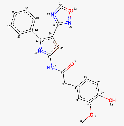 COc1cc(CC(=O)Nc2nc(-c3ccccc3)c(-c3ncon3)s2)ccc1O